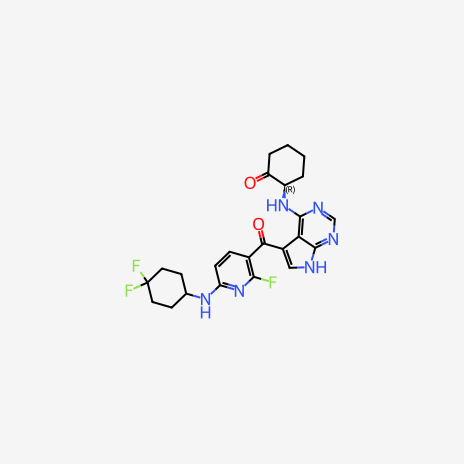 O=C(c1ccc(NC2CCC(F)(F)CC2)nc1F)c1c[nH]c2ncnc(N[C@@H]3CCCCC3=O)c12